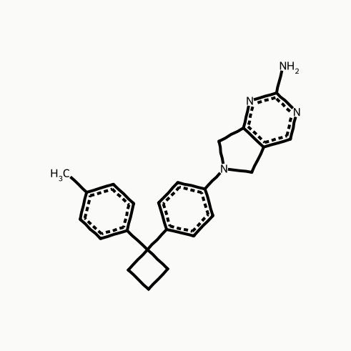 Cc1ccc(C2(c3ccc(N4Cc5cnc(N)nc5C4)cc3)CCC2)cc1